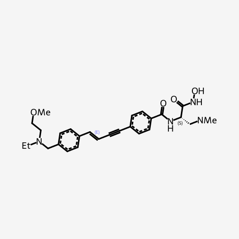 CCN(CCOC)Cc1ccc(/C=C/C#Cc2ccc(C(=O)N[C@@H](CNC)C(=O)NO)cc2)cc1